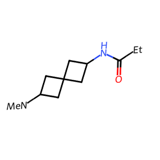 CCC(=O)NC1CC2(CC(NC)C2)C1